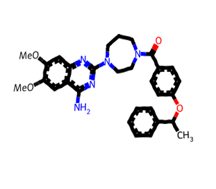 COc1cc2nc(N3CCCN(C(=O)c4ccc(OC(C)c5ccccc5)cc4)CC3)nc(N)c2cc1OC